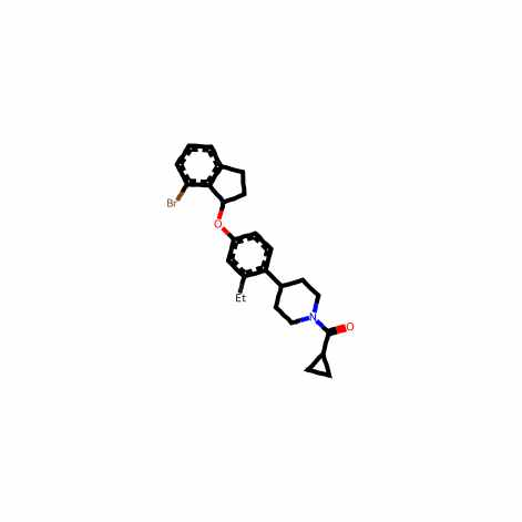 CCc1cc(OC2CCc3cccc(Br)c32)ccc1C1CCN(C(=O)C2CC2)CC1